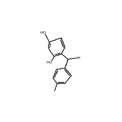 CCCC(c1ccc(C)cc1)c1ccc(O)cc1O